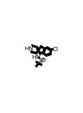 CC(C)(C)[S@@+]([O-])NC1c2ccc(Cl)cc2CC12CCNCC2